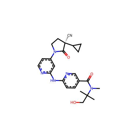 CN(C(=O)c1ccc(Nc2cc(N3CC[C@@](C#N)(C4CC4)C3=O)ccn2)nc1)C(C)(C)CO